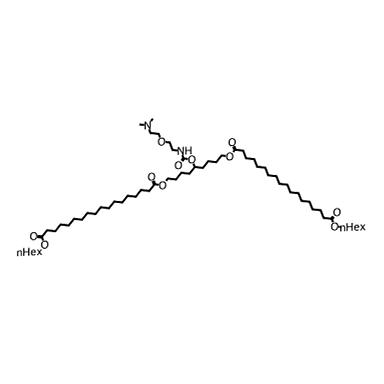 CCCCCCOC(=O)CCCCCCCCCCCCCCCCC(=O)OCCCCC(CCCCOC(=O)CCCCCCCCCCCCCCCCC(=O)OCCCCCC)OC(=O)NCCOCCN(C)C